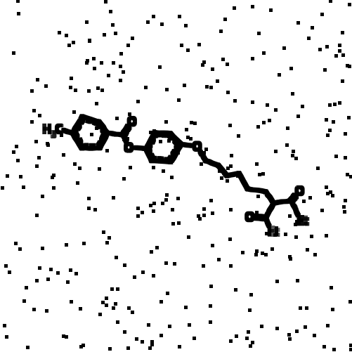 CCC(=O)C(CCCCCCOc1ccc(OC(=O)c2ccc(C)cc2)cc1)C(=O)CC